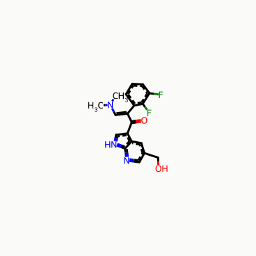 CN(C)C=C(C(=O)c1c[nH]c2ncc(CO)cc12)c1cccc(F)c1F